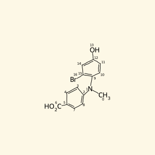 CN(c1ccc(C(=O)O)cc1)c1ccc(O)cc1Br